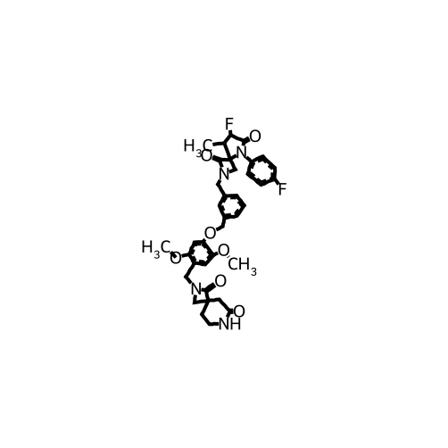 COc1cc(OCc2cccc(CN3CC4(C3=O)C(C)C(F)C(=O)N4c3ccc(F)cc3)c2)c(OC)cc1CN1CC2(CCNC(=O)C2)C1=O